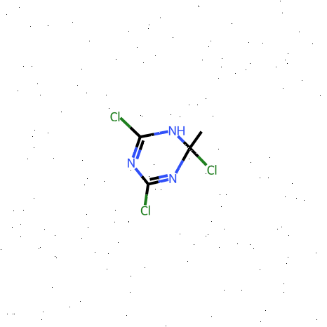 CC1(Cl)N=C(Cl)N=C(Cl)N1